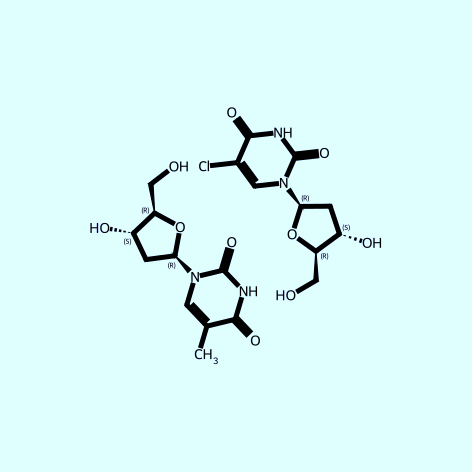 Cc1cn([C@H]2C[C@H](O)[C@@H](CO)O2)c(=O)[nH]c1=O.O=c1[nH]c(=O)n([C@H]2C[C@H](O)[C@@H](CO)O2)cc1Cl